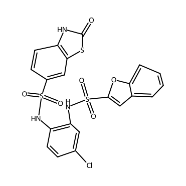 O=c1[nH]c2ccc(S(=O)(=O)Nc3ccc(Cl)cc3NS(=O)(=O)c3cc4ccccc4o3)cc2s1